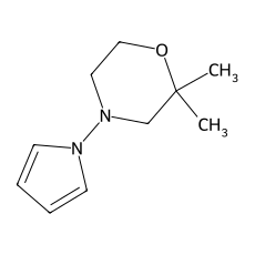 CC1(C)CN(n2cccc2)CCO1